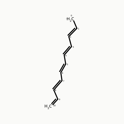 [CH2]/C=C/C=C/C=C/C=C/C=C